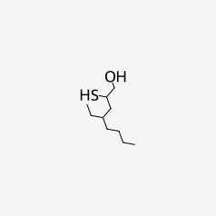 CCCCC(CC)CC(S)CO